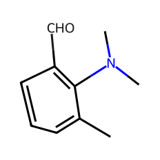 Cc1cccc(C=O)c1N(C)C